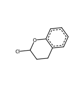 Cl[C]1CCc2ccccc2O1